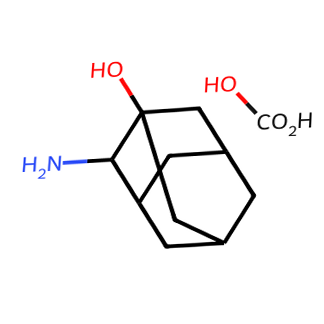 NC1C2CC3CC(C2)CC1(O)C3.O=C(O)O